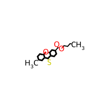 CCCCOC(=O)c1ccc2c(=S)c3cc(C)ccc3oc2c1